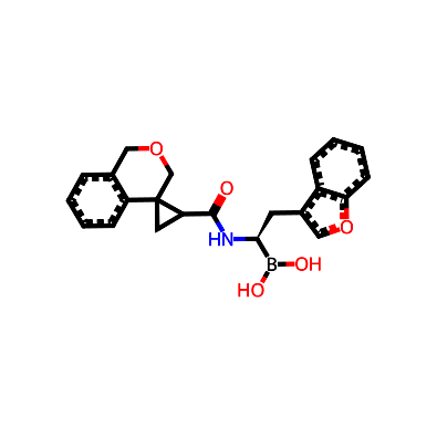 O=C(N[C@@H](Cc1coc2ccccc12)B(O)O)C1CC12COCc1ccccc12